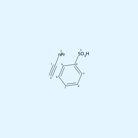 C#CCCC.O=S(=O)(O)c1ccccc1